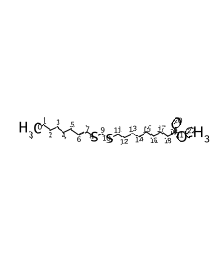 CCCCCCCCSCSCCCCCCCCC(=O)OC